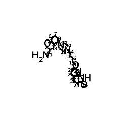 NCC1COc2cccc(N3CCN(CCCCOc4ccc5ccc(=O)[nH]c5n4)CC3)c2C1